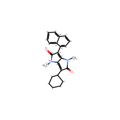 CN1C(=O)C(C2CCCCC2)=C2C1=C(c1cccc3ccccc13)C(=O)N2C